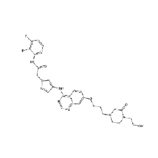 O=C(Cn1cc(Nc2ncnc3cc(OCCCN4CCN(CCO)C(=O)C4)ccc23)cn1)Nc1cccc(F)c1F